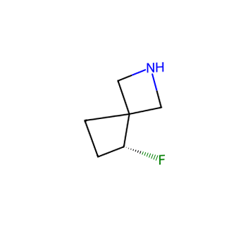 F[C@@H]1CCC12CNC2